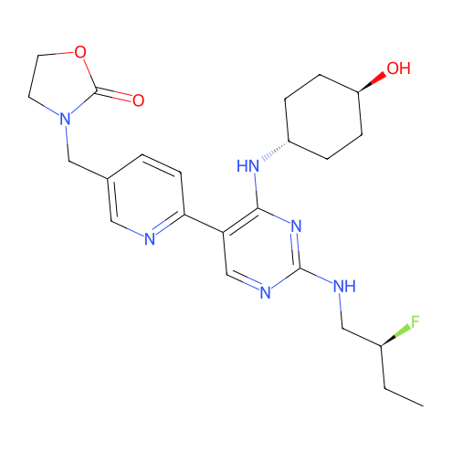 CC[C@H](F)CNc1ncc(-c2ccc(CN3CCOC3=O)cn2)c(N[C@H]2CC[C@H](O)CC2)n1